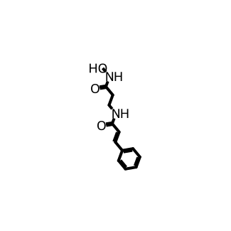 O=C(/C=C/c1ccccc1)NCCC(=O)NO